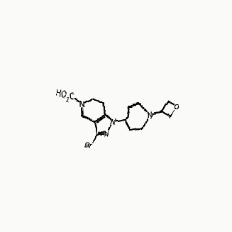 O=C(O)N1CCc2c(c(Br)nn2C2CCN(C3COC3)CC2)C1